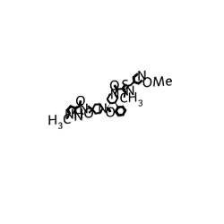 COc1cc(-c2nc(C)c(C(=O)N3CC[C@@H](C(=O)N4CCC(O)(Cn5cnc6c(ccn6C)c5=O)CC4)[C@H](c4ccccc4)C3)s2)ccn1